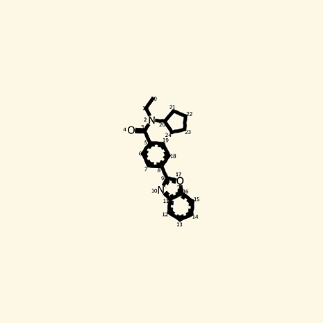 CCN(C(=O)c1ccc(-c2nc3ccccc3o2)cc1)C1CCCC1